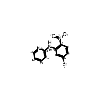 O=[N+]([O-])c1ccc(Br)cc1Nc1ccccn1